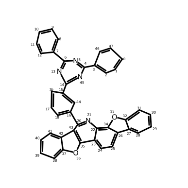 c1ccc(-c2nc(-c3ccccc3)nc(-c3cccc(-c4nc5c(ccc6c7ccccc7oc65)c5oc6ccccc6c45)c3)n2)cc1